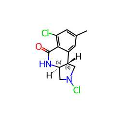 Cc1cc(Cl)c2c(c1)[C@@H]1CN(Cl)C[C@H]1NC2=O